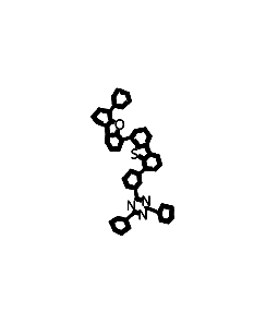 c1ccc(-c2nc(-c3ccccc3)nc(-c3cccc(-c4cccc5c4sc4c(-c6cccc7c6oc6c(-c8ccccc8)cccc67)cccc45)c3)n2)cc1